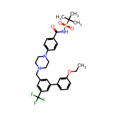 CCOc1cccc(-c2cc(CN3CCN(c4ccc(C(=O)NS(=O)(=O)C(C)(C)C)cc4)CC3)cc(C(F)(F)F)c2)c1